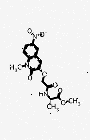 COC(=O)[C@H](C)NC(=O)COc1cc2cc([N+](=O)[O-])ccc2n(C)c1=O